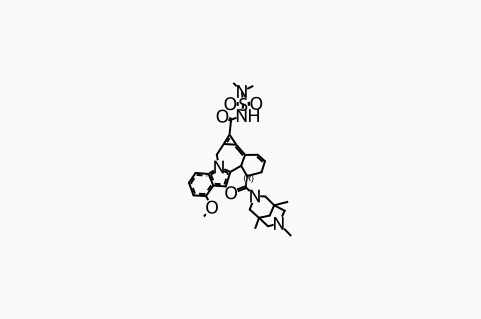 COc1cccc2c1cc1n2CC2=C(C(=O)NS(=O)(=O)N(C)C)C2=C2C=CC[C@@H](C(=O)N3CC4(C)CN(C)CC(C)(C3)C4)C21